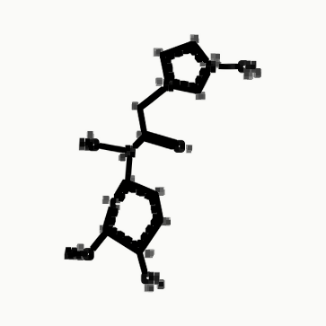 COc1cc(N(O)C(=O)Cn2cc[n+](C)c2)ccc1C